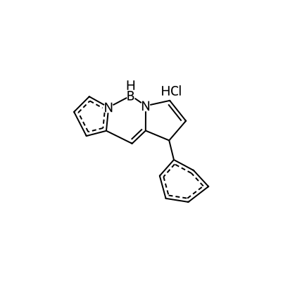 B1N2C=CC(c3ccccc3)C2=Cc2cccn21.Cl